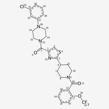 O=C(c1csc(C2CCN(C(=O)c3ccccc3OC(F)(F)F)CC2)n1)N1CCN(c2cccc(Cl)c2)CC1